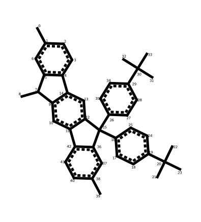 Cc1ccc2c(c1)C(C)c1cc3c(cc1-2)C(c1ccc(C(C)(C)C)cc1)(c1ccc(C(C)(C)C)cc1)c1cc(C)ccc1-3